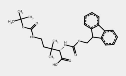 CC(C)(C)OC(=O)NCCC(C)(C)[C@H](NC(=O)OCC1c2ccccc2-c2ccccc21)C(=O)O